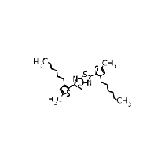 CCCCCCc1cc(C)sc1-c1nc2sc(-c3sc(C)cc3CCCCCC)nc2s1